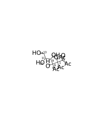 CC(=O)OC(C(C)=O)(C(=O)C(C)=O)C(O)(C(C)=O)C(O)C(O)CO